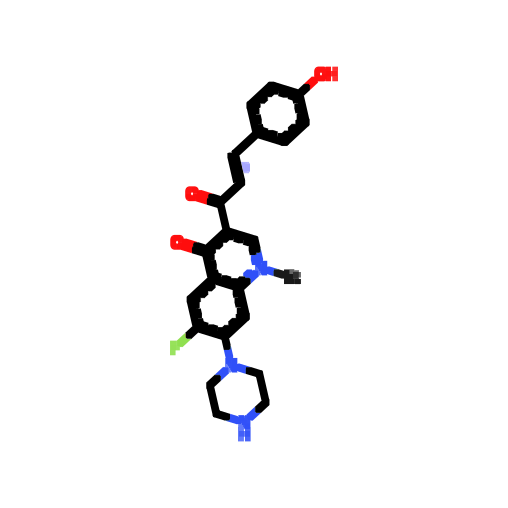 CCn1cc(C(=O)/C=C/c2ccc(O)cc2)c(=O)c2cc(F)c(N3CCNCC3)cc21